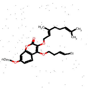 CCC=CCCOc1c(OC/C=C(\C)CCC=C(C)C)c(=O)oc2cc(OCCCCCCCCCC)ccc12